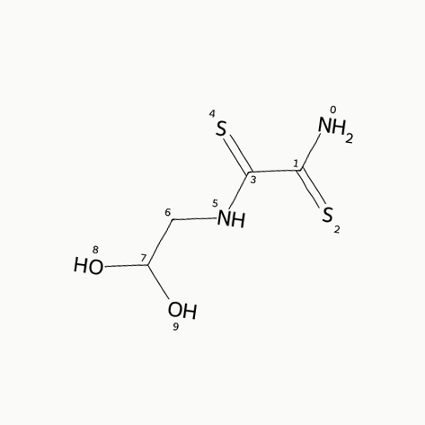 NC(=S)C(=S)NCC(O)O